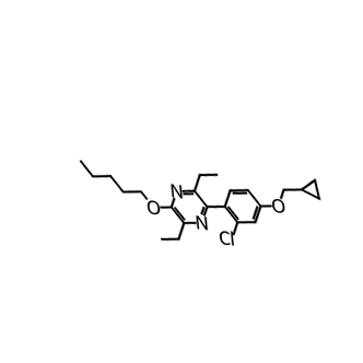 CCCCCOc1nc(CC)c(-c2ccc(OCC3CC3)cc2Cl)nc1CC